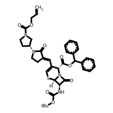 C=CCOC(=O)N1CC[C@@H](N2CC/C(=C\C3=CS[C@@H]4[C@H](NC(=O)OC(C)(C)C)C(=O)N4[C@H]3C(=O)OC(c3ccccc3)c3ccccc3)C2=O)C1